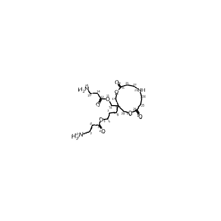 NCCC(=O)OCCCC1(COC(=O)CCN)COC(=O)CCNCCC(=O)OC1